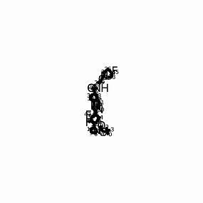 CC(C)(C)OC(=O)N1CCCC1c1ccc(-c2cn3c(n2)sc2cc(C(=O)NCCCN4CCC(F)CC4)ccc23)c(F)c1F